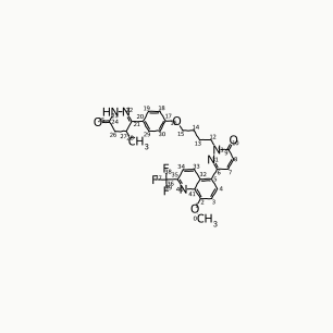 COc1ccc(-c2ccc(=O)n(CCCCOc3ccc(C4=NNC(=O)CC4C)cc3)n2)c2ccc(C(F)(F)F)nc12